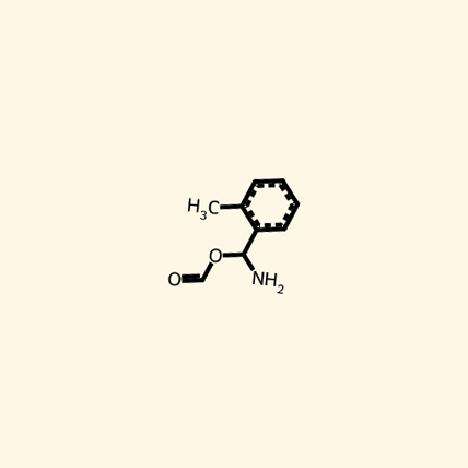 Cc1ccccc1C(N)OC=O